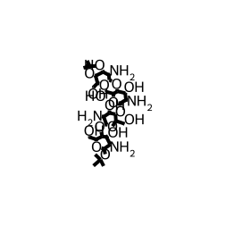 CC(C)(C)OC1OC(CO)C(OC2OC(CO)C(OC3OC(CO)C(OC4OC(CO)C(OC(C)(C)C)C(O)C4N)C(O)C3N)C(O)C2N)C(O)C1N